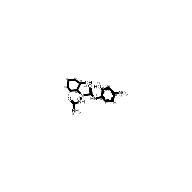 NC(=O)NN(C(=O)Nc1ccc([N+](=O)[O-])cc1O)C1CCCCC1O